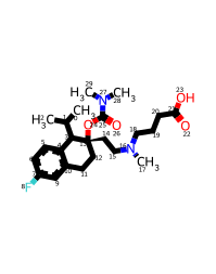 CC(C)C1c2ccc(F)cc2CC[C@@]1(CCN(C)CCCC(=O)O)OC(=O)N(C)C